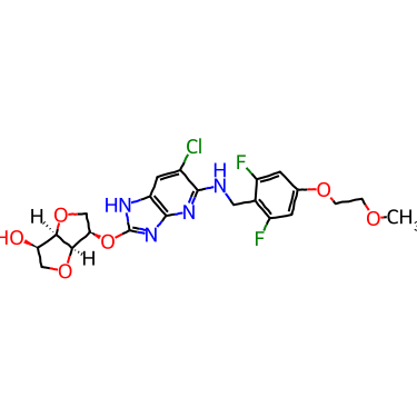 COCCOc1cc(F)c(CNc2nc3nc(O[C@@H]4CO[C@H]5[C@@H]4OC[C@H]5O)[nH]c3cc2Cl)c(F)c1